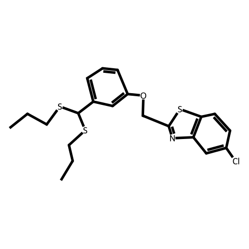 CCCSC(SCCC)c1cccc(OCc2nc3cc(Cl)ccc3s2)c1